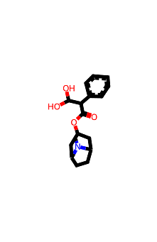 CN1C2CCC1CC(OC(=O)C(c1ccccc1)C(O)O)C2